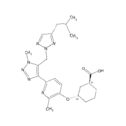 Cc1nc(-c2nnn(C)c2Cn2ncc(CC(C)C)n2)ccc1O[C@H]1CCC[C@H](C(=O)O)C1